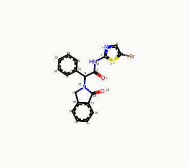 O=C(Nc1ncc(Br)s1)C(c1ccccc1)N1Cc2ccccc2C1=O